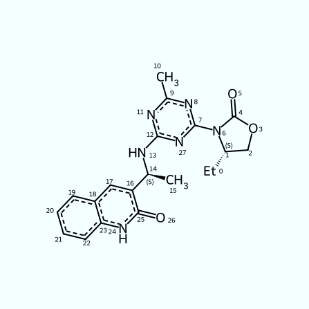 CC[C@H]1COC(=O)N1c1nc(C)nc(N[C@@H](C)c2cc3ccccc3[nH]c2=O)n1